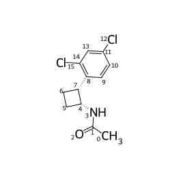 CC(=O)N[C@@H]1CC[C@@H]1c1ccc(Cl)cc1Cl